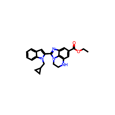 CCOC(=O)c1cc2c3c(c1)nc(-c1cc4ccccc4n1CC1CC1)n3CCN2